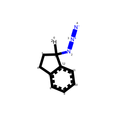 [2H]C1(N=[N+]=[N-])CCc2ccccc21